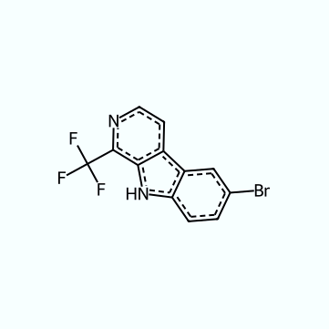 FC(F)(F)c1nccc2c1[nH]c1ccc(Br)cc12